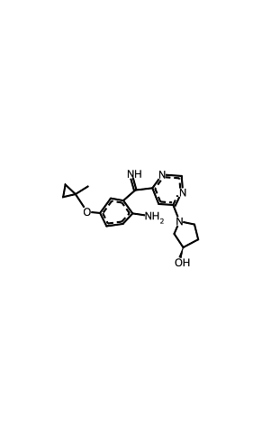 CC1(Oc2ccc(N)c(C(=N)c3cc(N4CC[C@@H](O)C4)ncn3)c2)CC1